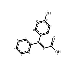 O=C(O)/C=C(/c1ccccc1)c1ccc(O)cc1